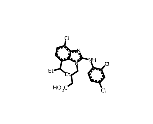 CCC(CC)c1ccc(Cl)c2nc(Nc3ccc(Cl)cc3Cl)n(CCCC(=O)O)c12